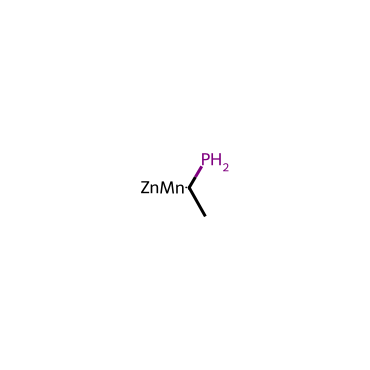 CCP.[Mn].[Zn]